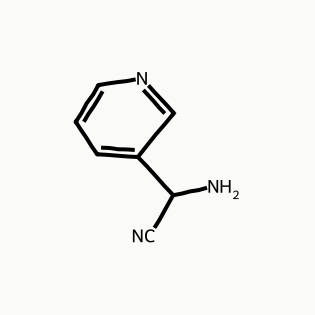 N#CC(N)c1cccnc1